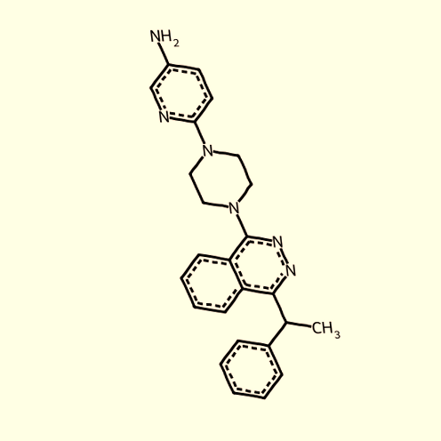 CC(c1ccccc1)c1nnc(N2CCN(c3ccc(N)cn3)CC2)c2ccccc12